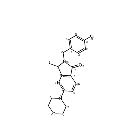 CC1c2nc(N3CCOCC3)cnc2C(=O)N1Cc1ccc(Cl)cc1